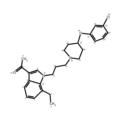 CCc1cccc2c(C(C)=O)cn(CCCN3CCC(Oc4cccc(Cl)c4)CC3)c12